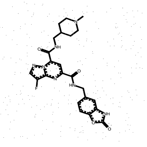 CN1CCC(CNC(=O)c2cc(C(=O)NCc3ccc4oc(=O)[nH]c4c3)nc3c(F)cnn23)CC1